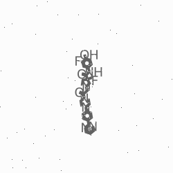 O=C(CN1CCC(CF)(C(=O)Nc2ccc(O)c(F)c2)C1)N1CCN(c2ccc(-c3ncccn3)cc2)CC1